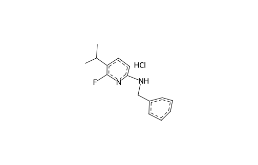 CC(C)c1ccc(NCc2ccccc2)nc1F.Cl